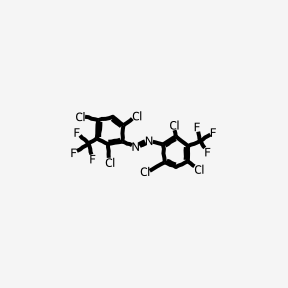 FC(F)(F)c1c(Cl)cc(Cl)c(/N=N/c2c(Cl)cc(Cl)c(C(F)(F)F)c2Cl)c1Cl